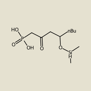 CCCCC(CC(=O)CP(=O)(O)O)O[SiH](C)C